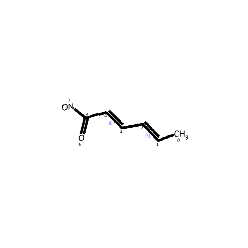 C/C=C/C=C/C(=O)N=O